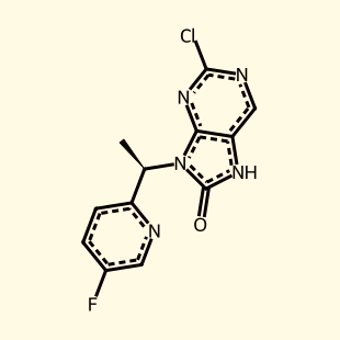 C[C@H](c1ccc(F)cn1)n1c(=O)[nH]c2cnc(Cl)nc21